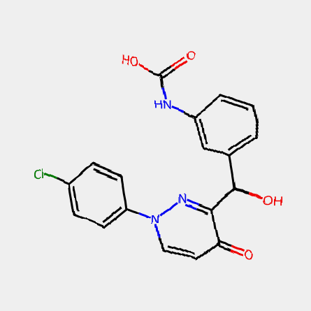 O=C(O)Nc1cccc(C(O)c2nn(-c3ccc(Cl)cc3)ccc2=O)c1